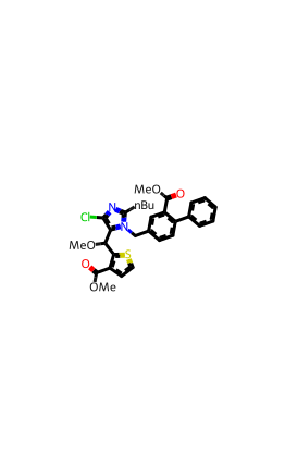 CCCCc1nc(Cl)c(C(OC)c2sccc2C(=O)OC)n1Cc1ccc(-c2ccccc2)c(C(=O)OC)c1